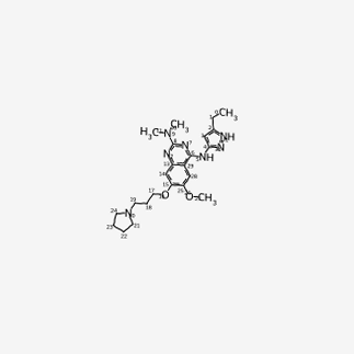 CCc1cc(Nc2nc(N(C)C)nc3cc(OCCCN4CCCC4)c(OC)cc23)n[nH]1